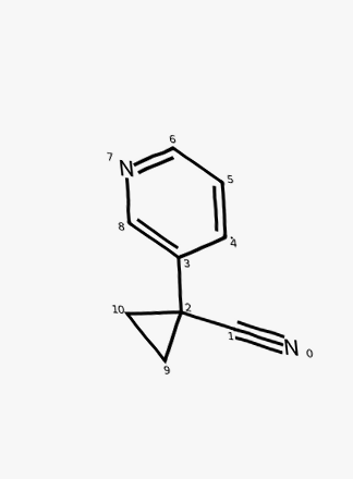 N#CC1(c2[c]ccnc2)CC1